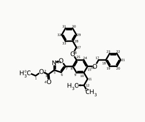 CCOC(=O)c1cc(-c2cc(CC(C)C)c(OCc3ccccc3)cc2OCc2ccccc2)on1